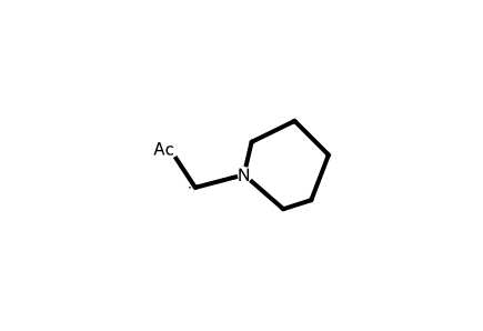 CC(=O)[CH]N1CCCCC1